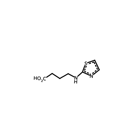 O=C(O)CCCNc1nccs1